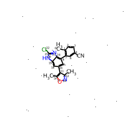 Cc1ccc(C#N)cc1-c1cc(-c2c(C)noc2C)cc2[nH]c(Cl)nc12